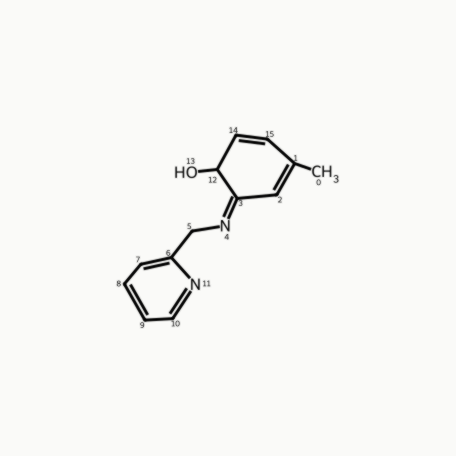 CC1=CC(=NCc2ccccn2)C(O)C=C1